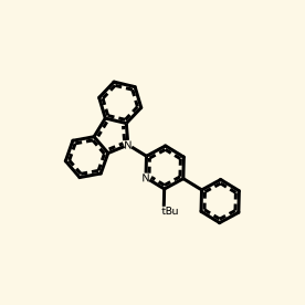 CC(C)(C)c1nc(-n2c3ccccc3c3ccccc32)ccc1-c1ccccc1